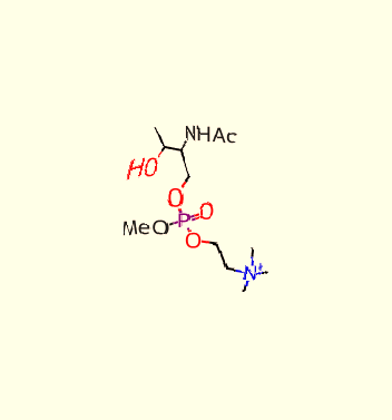 COP(=O)(OCC[N+](C)(C)C)OCC(NC(C)=O)C(C)O